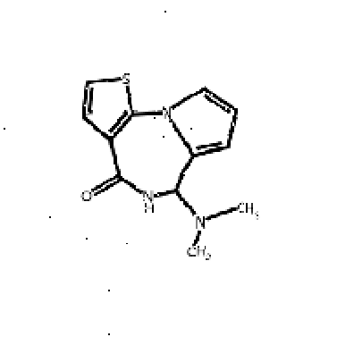 CN(C)C1NC(=O)c2ccsc2-n2cccc21